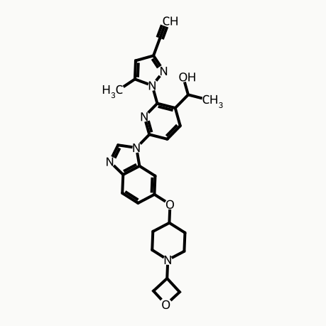 C#Cc1cc(C)n(-c2nc(-n3cnc4ccc(OC5CCN(C6COC6)CC5)cc43)ccc2C(C)O)n1